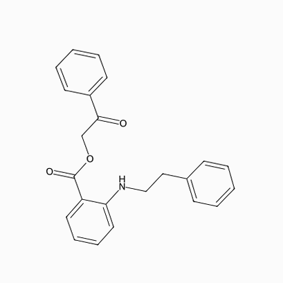 O=C(COC(=O)c1ccccc1NCCc1ccccc1)c1ccccc1